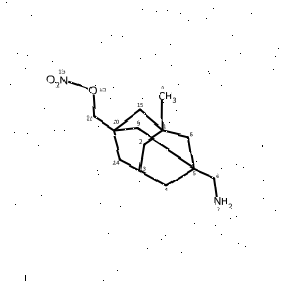 CC12CC3CC(CN)(C1)CC(CO[N+](=O)[O-])(C3)C2